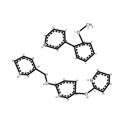 COc1ccccc1-c1cccnc1.c1ccc(Oc2ccc(OCc3cccnc3)nc2)nc1